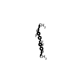 C=CCCCOc1ccc(C2CCC(CCc3ccc(C4CCC(OCCCC)CC4)c(F)c3F)CC2)c(F)c1